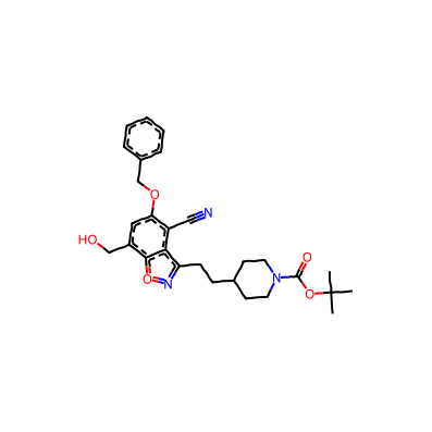 CC(C)(C)OC(=O)N1CCC(CCc2noc3c(CO)cc(OCc4ccccc4)c(C#N)c23)CC1